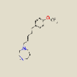 FC(F)(F)Oc1ccc(CCCCCN2CCC[N]CC2)cc1